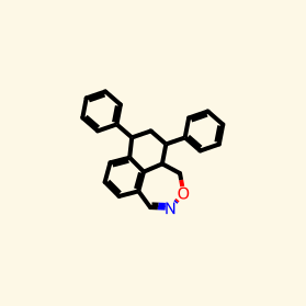 C1=NOCC2c3c1cccc3C(c1ccccc1)CC2c1ccccc1